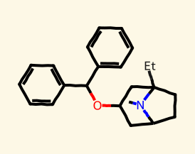 CCC12CCC(CC(OC(c3ccccc3)c3ccccc3)C1)N2C